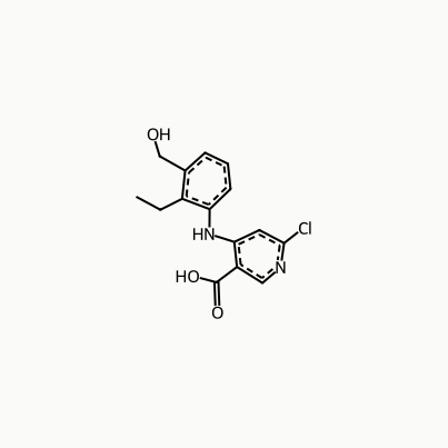 CCc1c(CO)cccc1Nc1cc(Cl)ncc1C(=O)O